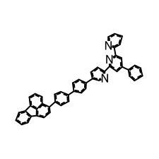 c1ccc(-c2cc(-c3ccccn3)nc(-c3ccc(-c4ccc(-c5ccc(-c6ccc7c8c(cccc68)-c6ccccc6-7)cc5)cc4)cn3)c2)cc1